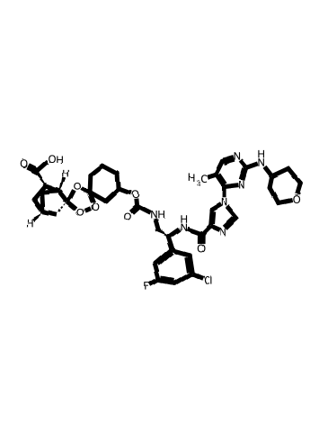 Cc1cnc(NC2CCOCC2)nc1-n1cnc(C(=O)N[C@H](CNC(=O)OC2CCCC3(C2)OO[C@]2(C[C@H]4C[C@@H]2[C@H](C(=O)O)C4)O3)c2cc(F)cc(Cl)c2)c1